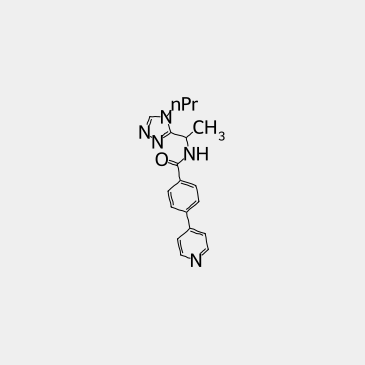 CCCn1cnnc1C(C)NC(=O)c1ccc(-c2ccncc2)cc1